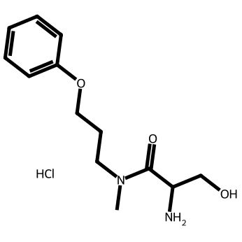 CN(CCCOc1ccccc1)C(=O)C(N)CO.Cl